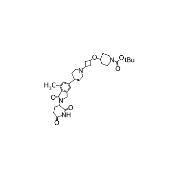 Cc1cc(C2=CCN(C3CC(OC4CCN(C(=O)OC(C)(C)C)CC4)C3)CC2)cc2c1C(=O)N(C1CCC(=O)NC1=O)C2